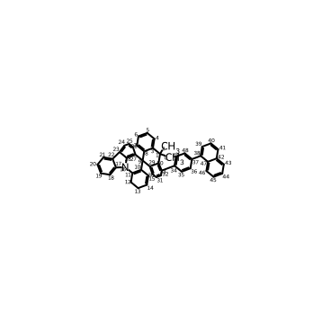 CC1(C)c2ccccc2C2(C3=C(CCC=C3)n3c4ccccc4c4cccc2c43)c2cccc(-c3ccc(-c4cccc5ccccc45)cc3)c21